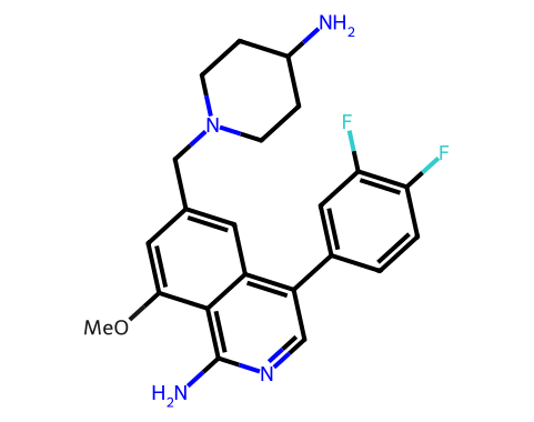 COc1cc(CN2CCC(N)CC2)cc2c(-c3ccc(F)c(F)c3)cnc(N)c12